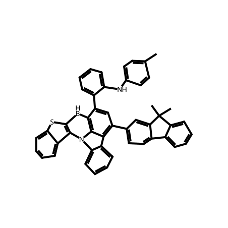 Cc1ccc(Nc2ccccc2-c2cc(-c3ccc4c(c3)C(C)(C)c3ccccc3-4)c3c4ccccc4n4c3c2Bc2sc3ccccc3c2-4)cc1